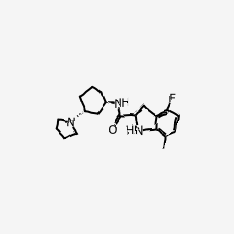 Cc1ccc(F)c2c1NC(C(=O)N[C@@H]1CCC[C@@H](N3CCCC3)C1)C2